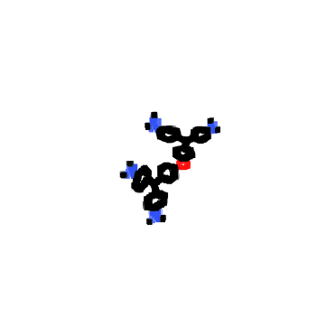 CN(C)c1ccc(C(c2ccc(Oc3ccc(C(c4ccc(N(C)C)cc4)c4ccc(N(C)C)cc4)cc3)cc2)c2ccc(N(C)C)cc2)cc1